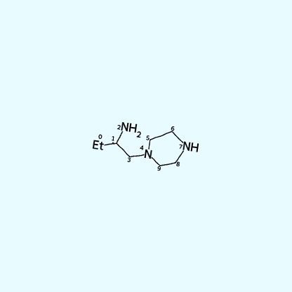 CC[C](N)CN1CCNCC1